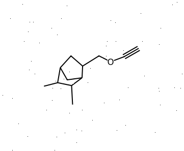 C#COCC1CC2CC1C(C)C2C